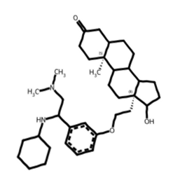 CN(C)CC(NC1CCCCC1)c1cccc(OCC[C@]23CCC4C(CCC5CC(=O)CC[C@@]54C)C2CCC3O)c1